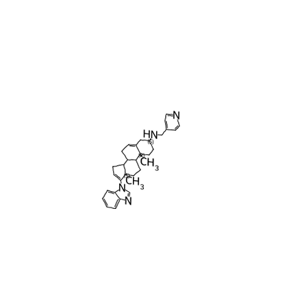 C[C@]12CC[C@H](NCc3ccncc3)CC1=CCC1C2CC[C@]2(C)C(n3cnc4ccccc43)=CCC12